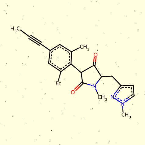 CC#Cc1cc(C)c(C2C(=O)C(Cc3ccn(C)n3)N(C)C2=O)c(CC)c1